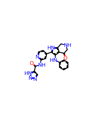 O=C(Nc1cc(-c2[nH]c3c(c2Nc2ccccc2)C(=O)CNC3)ccn1)c1cnn[nH]1